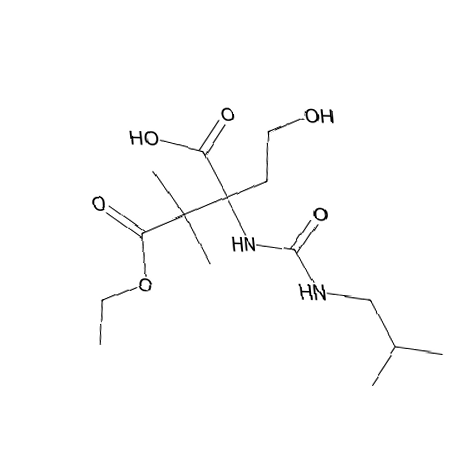 CCOC(=O)C(C)(C)C(CCO)(NC(=O)NCC(C)C)C(=O)O